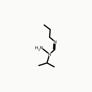 CCC/N=C\N(N)C(C)C